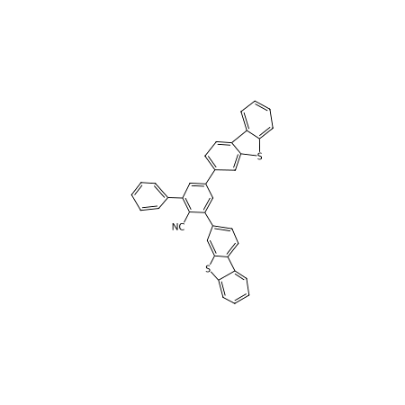 N#Cc1c(-c2ccccc2)cc(-c2ccc3c(c2)sc2ccccc23)cc1-c1ccc2c(c1)sc1ccccc12